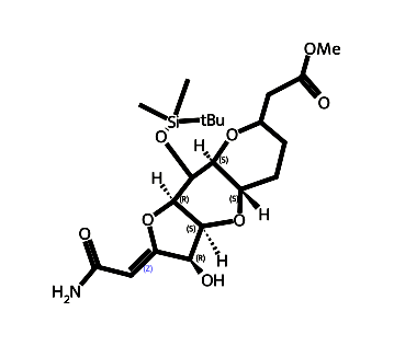 COC(=O)CC1CC[C@@H]2O[C@H]3[C@@H](O)/C(=C/C(N)=O)O[C@H]3C(O[Si](C)(C)C(C)(C)C)[C@H]2O1